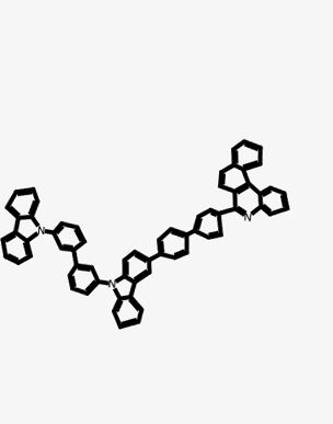 c1cc(-c2cccc(-n3c4ccccc4c4cc(-c5ccc(-c6ccc(-c7nc8ccccc8c8c7ccc7ccccc78)cc6)cc5)ccc43)c2)cc(-n2c3ccccc3c3ccccc32)c1